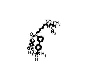 CC(C)(O)c1ccc(-c2cccc(N(CCCCCc3noc(C(C)(C)F)n3)C(=O)N3CC4(C3)CS(=O)(=O)C4)c2)cc1